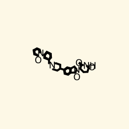 O=C1CCC(N2Cc3cc(C4CCN(Cc5cccc(-n6ccccc6=O)c5)CC4)ccc3C2=O)C(=O)N1